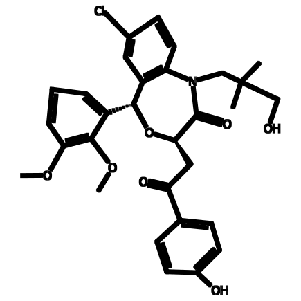 COc1cccc([C@H]2O[C@H](CC(=O)c3ccc(O)cc3)C(=O)N(CC(C)(C)CO)c3ccc(Cl)cc32)c1OC